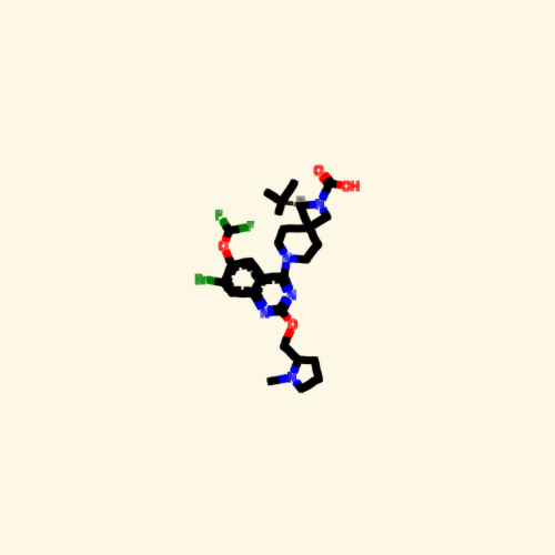 CN1CCCC1COc1nc(N2CCC3(CC2)CN(C(=O)O)[C@H]3C(C)(C)C)c2cc(OC(F)F)c(Br)cc2n1